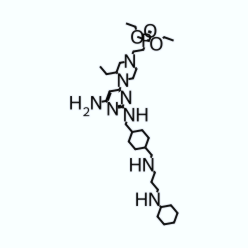 CCOP(=O)(CCN1CCN(c2cc(N)nc(NCC3CCC(CNCCCNC4CCCCC4)CC3)n2)C(CC)C1)OCC